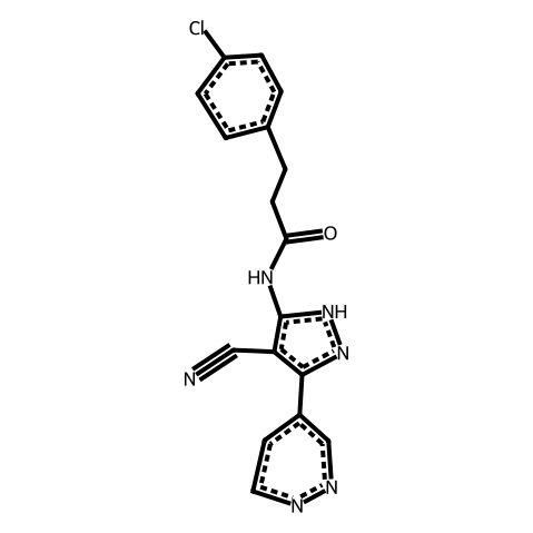 N#Cc1c(-c2ccnnc2)n[nH]c1NC(=O)CCc1ccc(Cl)cc1